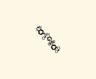 O=C(Nc1ccc2scnc2c1)[C@@H]1CCN(S(=O)(=O)c2ccc3c(c2)OCO3)C1